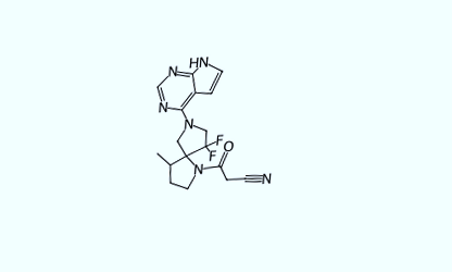 CC1CCN(C(=O)CC#N)C12CN(c1ncnc3[nH]ccc13)CC2(F)F